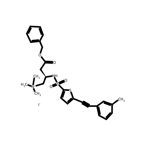 Cc1cccc(C#Cc2ccc(S(=O)(=O)N[C@H](CC(=O)OCc3ccccc3)C[N+](C)(C)C)s2)c1.[I-]